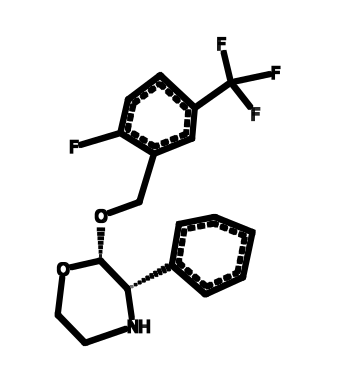 Fc1ccc(C(F)(F)F)cc1CO[C@H]1OCCN[C@H]1c1ccccc1